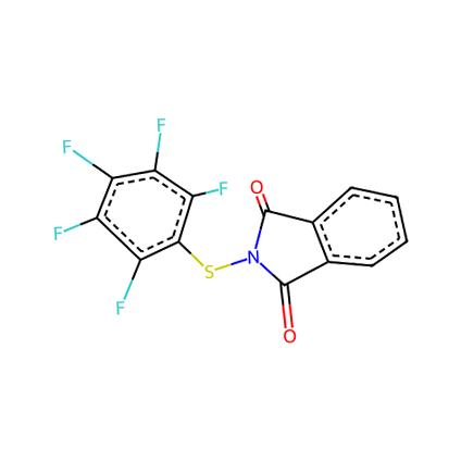 O=C1c2ccccc2C(=O)N1Sc1c(F)c(F)c(F)c(F)c1F